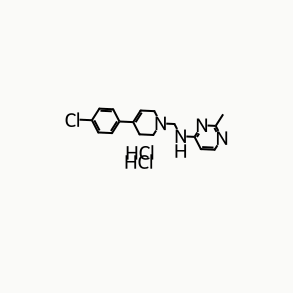 Cc1nccc(NCN2CC=C(c3ccc(Cl)cc3)CC2)n1.Cl.Cl